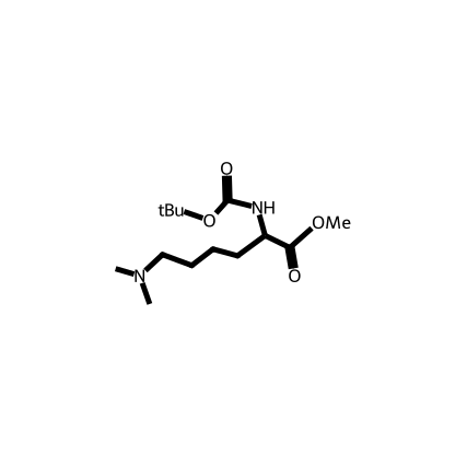 COC(=O)C(CCCCN(C)C)NC(=O)OC(C)(C)C